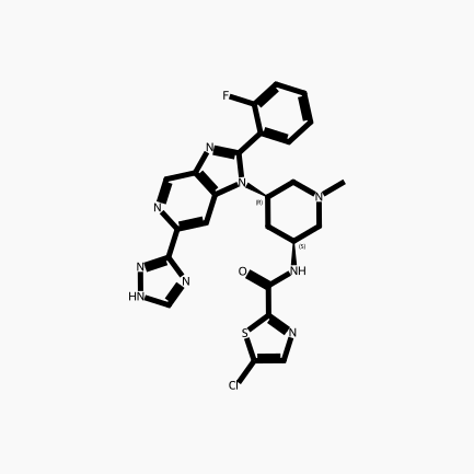 CN1C[C@@H](NC(=O)c2ncc(Cl)s2)C[C@@H](n2c(-c3ccccc3F)nc3cnc(-c4nc[nH]n4)cc32)C1